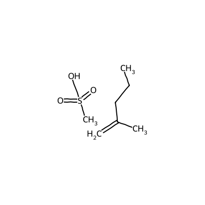 C=C(C)CCC.CS(=O)(=O)O